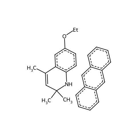 CCOc1ccc2c(c1)C(C)=CC(C)(C)N2.c1ccc2cc3ccccc3cc2c1